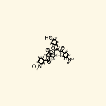 CN(C)c1ccc(C(=O)N[C@@H](Cc2ccc(O)cc2)C(=O)N2CC[C@@H]3[C@H]2C(=O)CN3C(=O)c2cccc([N+](=O)[O-])c2)cc1